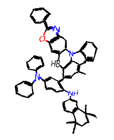 Cc1cc(-c2cc(N(c3ccccc3)c3ccccc3)ccc2Nc2ccc3c(c2)C(C)(C)CCC3(C)C)c2c3c1c1ccccc1n3-c1cc3nc(-c4ccccc4)oc3cc1B2